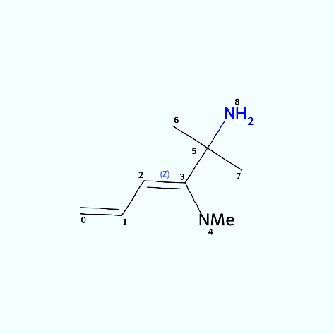 C=C/C=C(\NC)C(C)(C)N